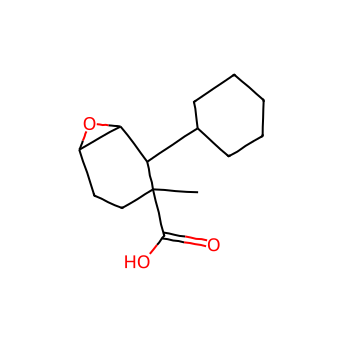 CC1(C(=O)O)CCC2OC2C1C1CCCCC1